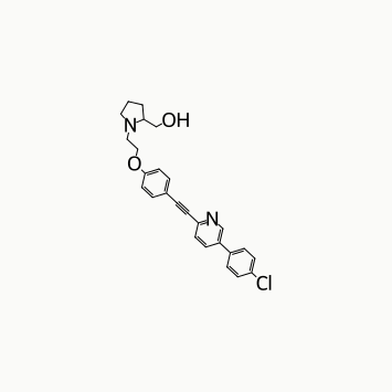 OCC1CCCN1CCOc1ccc(C#Cc2ccc(-c3ccc(Cl)cc3)cn2)cc1